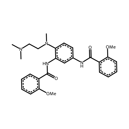 COc1ccccc1C(=O)Nc1ccc(N(C)CCN(C)C)c(NC(=O)c2ccccc2OC)c1